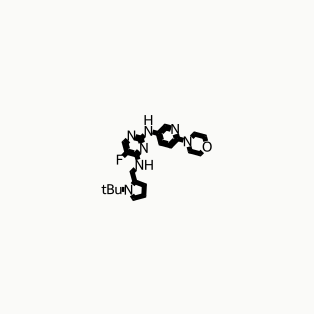 CC(C)(C)N1CCCC1CNc1nc(Nc2ccc(N3CCOCC3)nc2)ncc1F